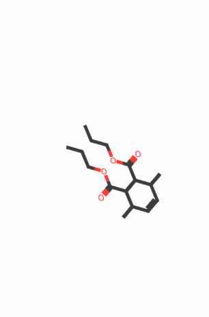 CCCOC(=O)C1C(C)C=CC(C)C1C(=O)OCCC